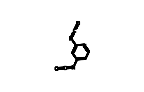 O=C=Nc1[c]ccc(N=C=O)c1